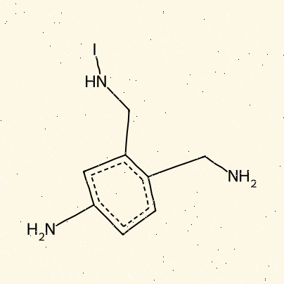 NCc1ccc(N)cc1CNI